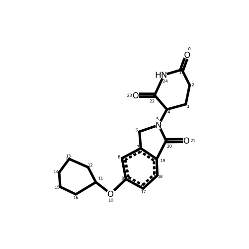 O=C1CCC(N2Cc3cc(OC4C[CH]CCC4)ccc3C2=O)C(=O)N1